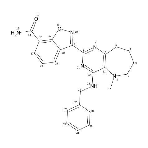 CN1CCCCc2nc(-c3noc4c(C(N)=O)cccc34)nc(NCc3ccccc3)c21